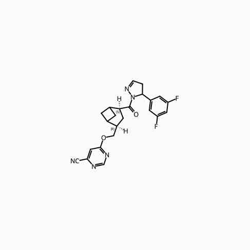 N#Cc1cc(OC[C@@H]2C[C@H](C(=O)N3N=CCC3c3cc(F)cc(F)c3)C3CC2C3)ncn1